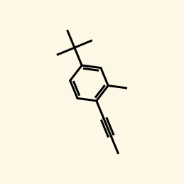 CC#Cc1ccc(C(C)(C)C)cc1C